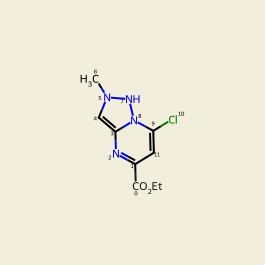 CCOC(=O)C1=NC2=CN(C)NN2C(Cl)=C1